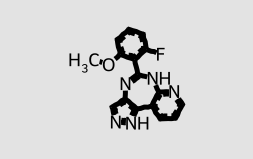 COc1cccc(F)c1C1=Nc2cn[nH]c2-c2cccnc2N1